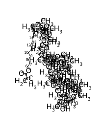 C=C(C)C(=O)OCCCCCCCCCCC[Si](C)(C)O[Si](C)(C)O[Si](C)(C)O[Si](C)(C)O[Si](C)(C)O[Si](C)(C)O[Si](C)(C)O[Si](C)(C)O[Si](C)(C)O[Si](C)(C)O[Si](C)(C)O[Si](C)(C)O[Si](C)(C)O[Si](C)(C)O[Si](C)(C)O[Si](C)(C)O[Si](C)(C)O[Si](C)(C)O[Si](C)(C)O[Si](C)(C)O[Si](C)(C)O[Si](C)(C)O[Si](C)(C)O